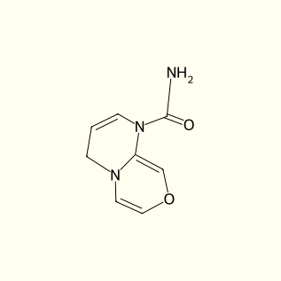 NC(=O)N1C=CCN2C=COC=C21